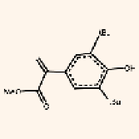 C=C(C(=O)OC)c1cc(C(C)(C)C)c(O)c(C(C)(C)C)c1